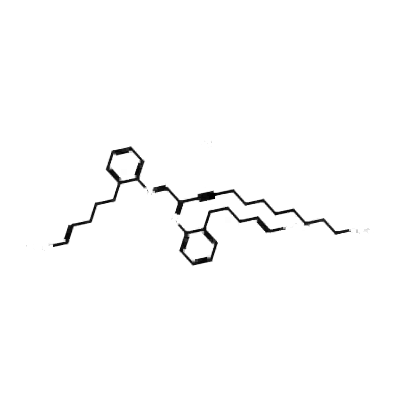 CCCCCCCCC=CCCCc1ccccc1N=CC(C#CCCCCCCCCCCCCCCCCCC)=Nc1ccccc1CCCC=CCCCCCCCC.[Pd]